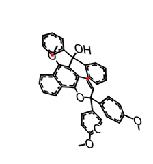 COc1ccc(C2(c3ccc(OC)cc3)C=Cc3c(C(O)(c4ccccc4)c4ccccc4)c(OC)c4ccccc4c3O2)cc1